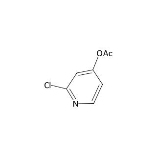 CC(=O)Oc1ccnc(Cl)c1